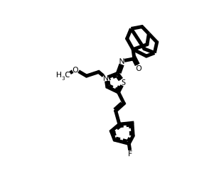 COCCn1cc(C=Cc2ccc(F)cc2)sc1=NC(=O)C12CC3CC(CC(C3)C1)C2